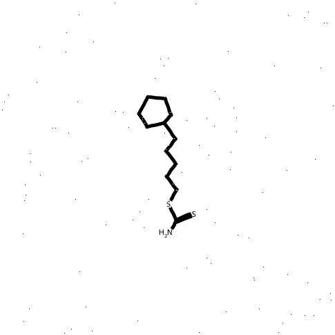 NC(=S)SCCCCCC1CCCCC1